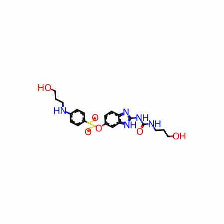 O=C(NCCCO)Nc1nc2ccc(OS(=O)(=O)c3ccc(NCCCO)cc3)cc2[nH]1